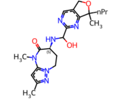 CCCC1(C)OCc2cnc(C(O)N[C@H]3CCn4nc(C)cc4N(C)C3=O)nc21